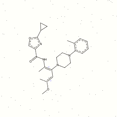 CO/C(C)=C/C(=C(\C)NC(=O)c1coc(C2CC2)n1)N1CCN(c2ccccc2C)CC1